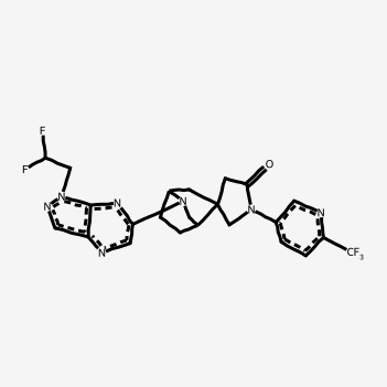 O=C1CC2(CC3CCC2CN3c2cnc3cnn(CC(F)F)c3n2)CN1c1ccc(C(F)(F)F)nc1